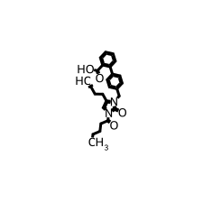 C#CCCc1cn(C(=O)CCCC)c(=O)n1Cc1ccc(-c2ccccc2C(=O)O)cc1